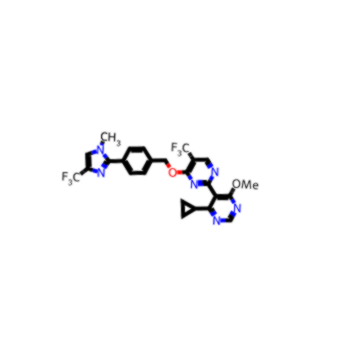 COc1ncnc(C2CC2)c1-c1ncc(C(F)(F)F)c(OCc2ccc(-c3nc(C(F)(F)F)cn3C)cc2)n1